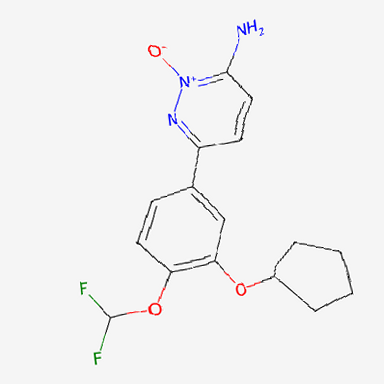 Nc1ccc(-c2ccc(OC(F)F)c(OC3CCCC3)c2)n[n+]1[O-]